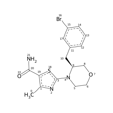 Cc1nc(N2CCOC[C@@H]2Cc2cccc(Br)c2)sc1C(N)=O